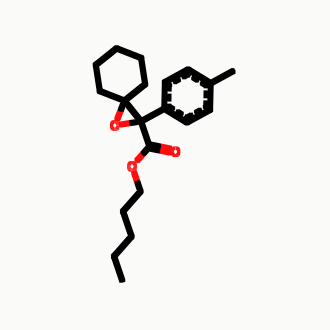 CCCCCOC(=O)C1(c2ccc(C)cc2)OC12CCCCC2